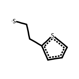 [S]CCc1cccs1